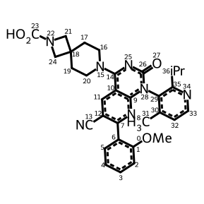 COc1ccccc1-c1nc2c(cc1C#N)c(N1CCC3(CC1)CN(C(=O)O)C3)nc(=O)n2-c1c(C)ccnc1C(C)C